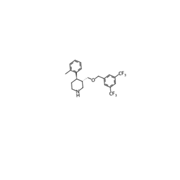 Cc1ccccc1[C@@H]1CCNC[C@H]1COCc1cc(C(F)(F)F)cc(C(F)(F)F)c1